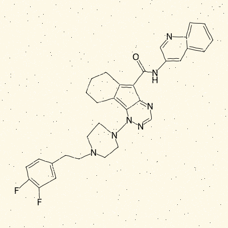 O=C(Nc1cnc2ccccc2c1)c1c2ncnn(N3CCN(CCc4ccc(F)c(F)c4)CC3)c-2c2c1CCCC2